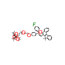 CC(C)(C)O[Si](CCC(C)(C)OCCOc1ccc(C2(c3ccc(F)cc3)C=Cc3c4c(c5ccccc5c3O2)-c2ccccc2C4(C)C)cc1)(OC(C)(C)C)OC(C)(C)C